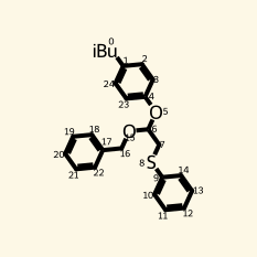 CCC(C)c1ccc(OC(CSc2ccccc2)OCc2ccccc2)cc1